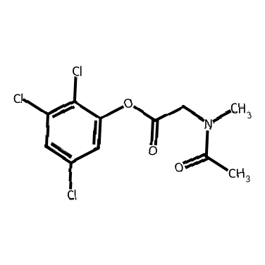 CC(=O)N(C)CC(=O)Oc1cc(Cl)cc(Cl)c1Cl